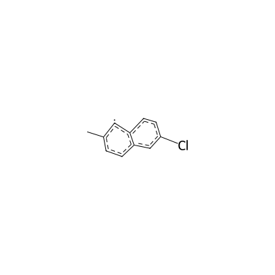 Cc1[c]c2ccc(Cl)cc2cc1